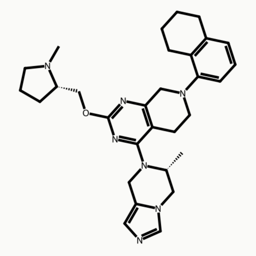 C[C@@H]1Cn2cncc2CN1c1nc(OC[C@@H]2CCCN2C)nc2c1CCN(c1cccc3c1CCCC3)C2